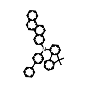 CC1(C)c2ccccc2-c2c(N(c3ccc(-c4ccccc4)cc3)c3ccc4c(ccc5c6ccccc6ccc45)c3)cccc21